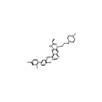 C=CC(=O)Nc1cc2c(Nc3cc(-c4ccc(C)cc4F)ccc3F)ncnc2cc1OCCCN1CCN(C)CC1